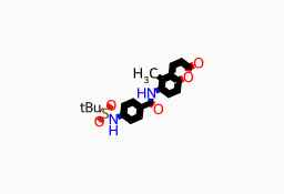 Cc1c(NC(=O)c2ccc(NS(=O)(=O)C(C)(C)C)cc2)ccc2oc(=O)ccc12